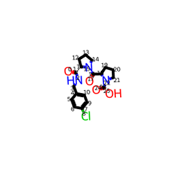 O=C(NCc1ccc(Cl)cc1)[C@@H]1CCCN1C(=O)C1CCCN1C(=O)O